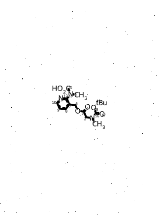 CN(CC(=O)OCc1cccnc1N(C)C(=O)O)C(=O)OC(C)(C)C